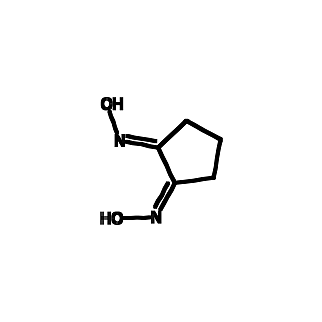 ON=C1CCCC1=NO